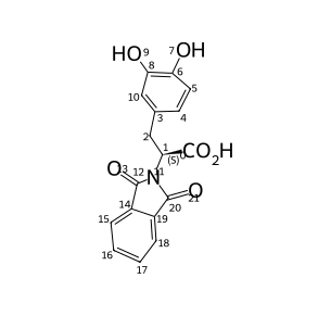 O=C(O)[C@H](Cc1ccc(O)c(O)c1)N1C(=O)c2ccccc2C1=O